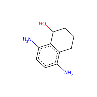 Nc1ccc(N)c2c1CCCC2O